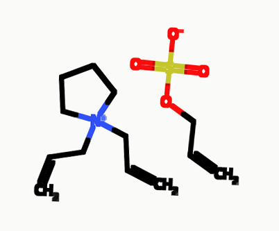 C=CCOS(=O)(=O)[O-].C=CC[N+]1(CC=C)CCCC1